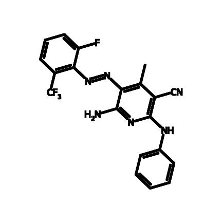 Cc1c(C#N)c(Nc2ccccc2)nc(N)c1/N=N/c1c(F)cccc1C(F)(F)F